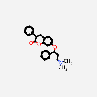 CN(C)CCC(Oc1ccc2c(c1)OC(=O)C(c1ccccc1)C2)c1ccccc1